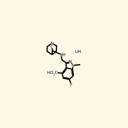 Cn1nc(CNC2CN3CCC2CC3)c2c(C(=O)O)cc(F)cc21.[LiH]